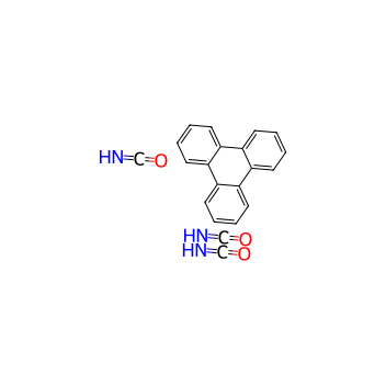 N=C=O.N=C=O.N=C=O.c1ccc2c(c1)c1ccccc1c1ccccc21